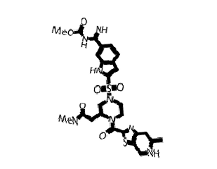 CNC(=O)CC1CN(S(=O)(=O)c2cc3ccc(C(=N)NC(=O)OC)cc3[nH]2)CCN1C(=O)c1nc2c(s1)CNC(C)C2